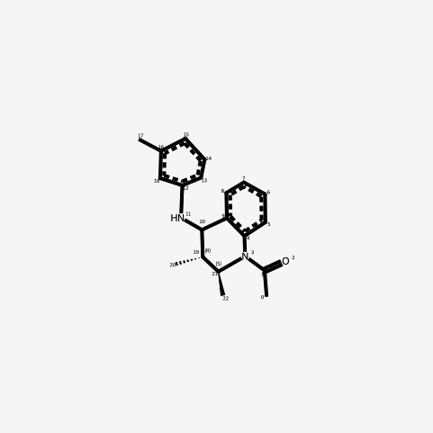 CC(=O)N1c2ccccc2C(Nc2cccc(C)c2)[C@@H](C)[C@@H]1C